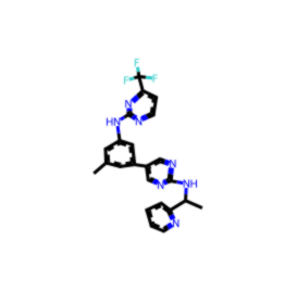 Cc1cc(Nc2nccc(C(F)(F)F)n2)cc(-c2cnc(NC(C)c3ccccn3)nc2)c1